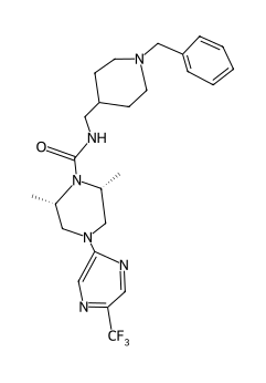 C[C@@H]1CN(c2cnc(C(F)(F)F)cn2)C[C@H](C)N1C(=O)NCC1CCN(Cc2ccccc2)CC1